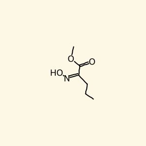 CCCC(=NO)C(=O)OC